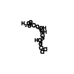 CS(=O)(=O)c1ccc(OC[C@@H](O)CNC2CCN(C[C@H](O)COc3ccc(Cl)c(Cl)c3)CC2)cc1